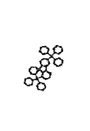 c1ccc([Si](c2ccccc2)(c2ccccc2)c2ccc3oc4c([Si](c5ccccc5)(c5ccccc5)c5ccccc5)ccnc4c3c2)cc1